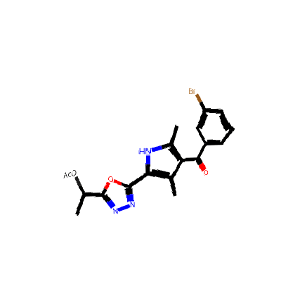 CC(=O)OC(C)c1nnc(-c2[nH]c(C)c(C(=O)c3cccc(Br)c3)c2C)o1